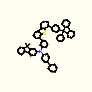 CC1(C)c2ccccc2-c2ccc(N(c3ccc(-c4ccccc4)cc3)c3cccc(-c4cccc5c4sc4c(-c6ccc(C7(c8ccccc8)c8ccccc8-c8ccccc87)cc6)cccc45)c3)cc21